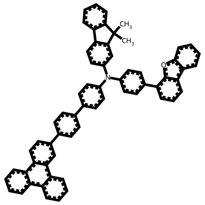 CC1(C)c2ccccc2-c2ccc(N(c3ccc(-c4ccc(-c5ccc6c7ccccc7c7ccccc7c6c5)cc4)cc3)c3ccc(-c4cccc5c4oc4ccccc45)cc3)cc21